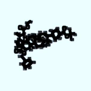 C=C(CC(=O)OCC)[C@@H]1CC[C@]2(C(=O)OCc3ccccc3)CC[C@]3(C)[C@H](CC[C@@H]4[C@@]5(C)CC=C(c6ccc(C(=O)OC(C)(C)C)cc6)C(C)(C)[C@@H]5CC[C@]43C)[C@@H]12